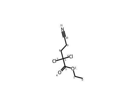 CCOC(=O)C(Cl)(Cl)CCC#N